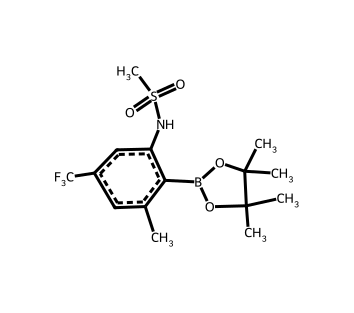 Cc1cc(C(F)(F)F)cc(NS(C)(=O)=O)c1B1OC(C)(C)C(C)(C)O1